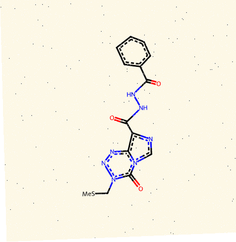 CSCn1nnc2c(C(=O)NNC(=O)c3ccccc3)ncn2c1=O